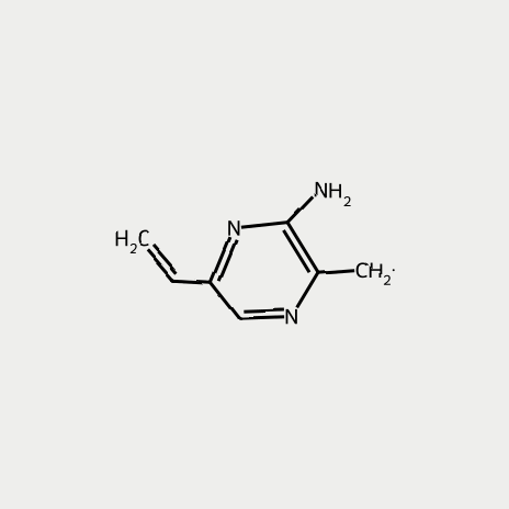 [CH2]c1ncc(C=C)nc1N